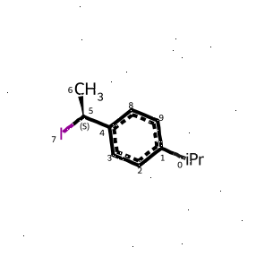 CC(C)c1ccc([C@H](C)I)cc1